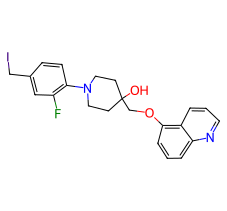 OC1(COc2cccc3ncccc23)CCN(c2ccc(CI)cc2F)CC1